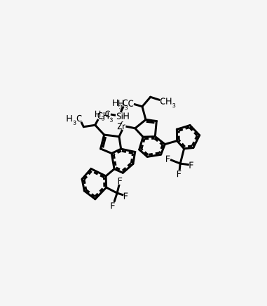 CCC(C)C1=Cc2c(-c3ccccc3C(F)(F)F)cccc2[CH]1[Zr]([CH]1C(C(C)CC)=Cc2c(-c3ccccc3C(F)(F)F)cccc21)[SiH](C)C